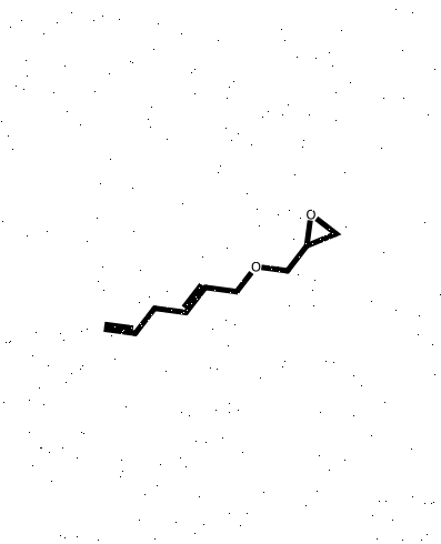 C=CCC=CCOCC1CO1